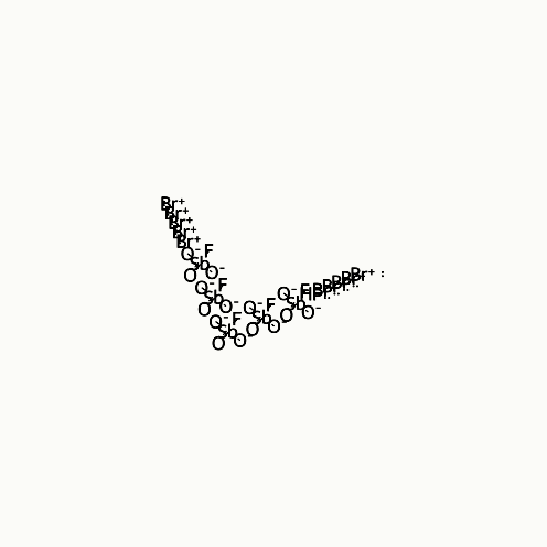 F.[Br+].[Br+].[Br+].[Br+].[Br+].[Br+].[Br+].[Br+].[Br+].[Br+].[O]=[Sb]([O-])([O-])[F].[O]=[Sb]([O-])([O-])[F].[O]=[Sb]([O-])([O-])[F].[O]=[Sb]([O-])([O-])[F].[O]=[Sb]([O-])([O-])[F]